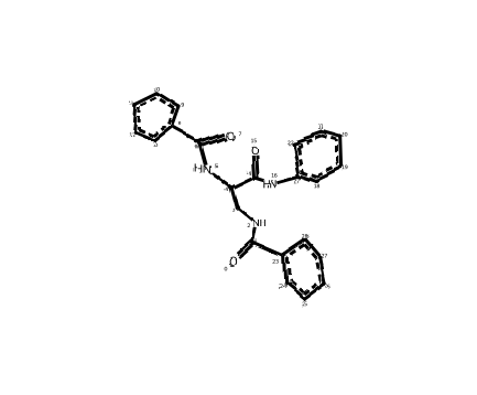 O=C(NCC(NC(=O)c1ccccc1)C(=O)Nc1ccccc1)c1ccccc1